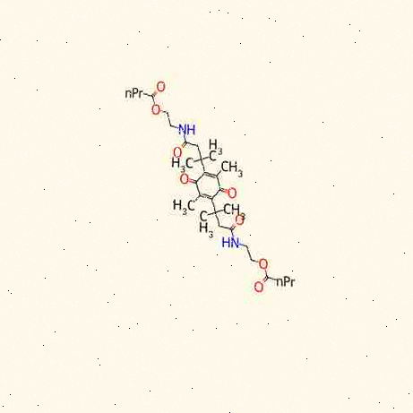 CCCC(=O)OCCNC(=O)CC(C)(C)C1=C(C)C(=O)C(C(C)(C)CC(=O)NCCOC(=O)CCC)=C(C)C1=O